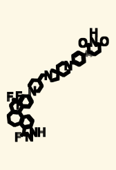 O=C1CC[C@H](c2ccc(N3CCC4(CCN(CC5CCN(c6ccc(C7=C(CC(F)(F)F)CCCc8c7ccc7[nH]nc(F)c87)cc6)CC5)C4)CC3)cc2)C(=O)N1